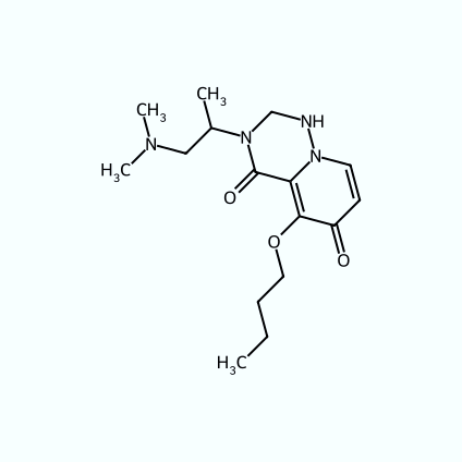 CCCCOc1c2n(ccc1=O)NCN(C(C)CN(C)C)C2=O